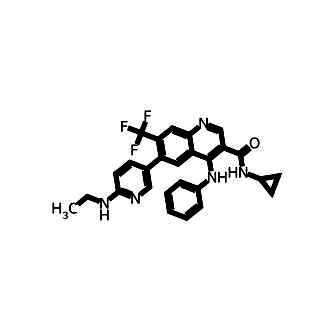 CCNc1ccc(-c2cc3c(Nc4ccccc4)c(C(=O)NC4CC4)cnc3cc2C(F)(F)F)cn1